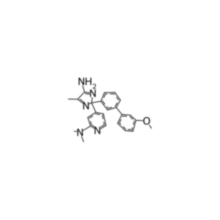 COc1cccc(-c2cccc(C3(c4ccnc(N(C)C)c4)N=C(C)C(N)=N3)c2)c1